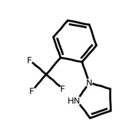 FC(F)(F)c1ccccc1N1CC=CN1